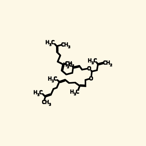 C=C(C)CC(OCC=C(C)CCC=C(C)CCC=C(C)C)OCC=C(C)CCC=C(C)CCC=C(C)C